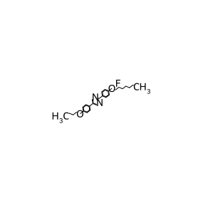 CCCCCC(F)COc1ccc(-c2ncc(-c3ccc(OCCCC)cc3)cn2)cc1